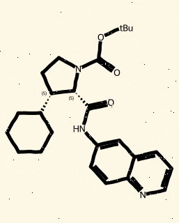 CC(C)(C)OC(=O)N1CC[C@@H](C2CCCCC2)[C@H]1C(=O)Nc1ccc2ncccc2c1